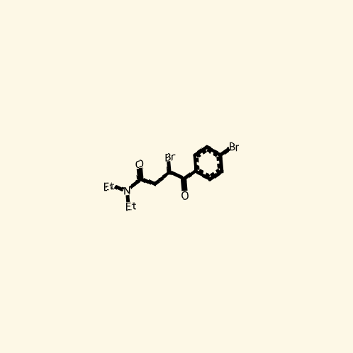 CCN(CC)C(=O)CC(Br)C(=O)c1ccc(Br)cc1